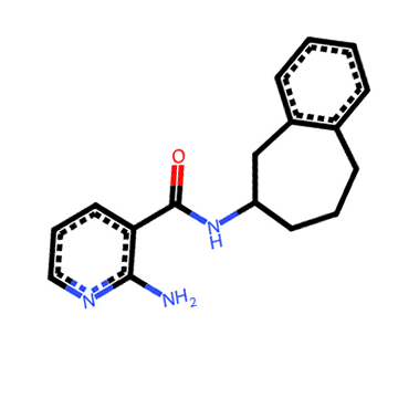 Nc1ncccc1C(=O)NC1CCCc2ccccc2C1